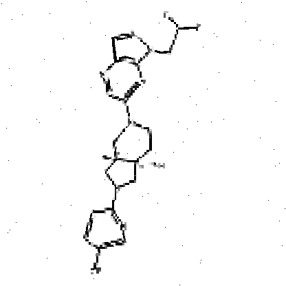 FC(F)Cn1ncc2ncc(N3CC[C@H]4CN(c5ccc(C(F)(F)F)cn5)C[C@@H]4C3)nc21